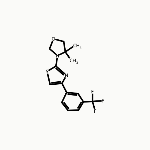 CC1(C)COCN1c1nc(-c2cccc(C(F)(F)F)c2)cs1